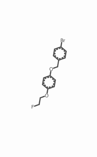 FCCOc1ccc(OCc2ccc(Br)cc2)cc1